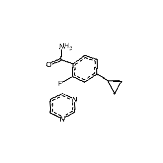 NC(=O)c1ccc(C2CC2)cc1F.c1cncnc1